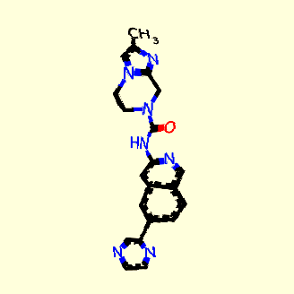 Cc1cn2c(n1)CN(C(=O)Nc1cc3cc(-c4cnccn4)ccc3cn1)CC2